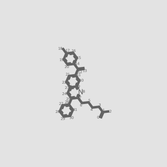 C=C(C)CCCCc1nc2cc(C(=C)c3ccc(C)cc3)ccc2cc1-c1ccccc1